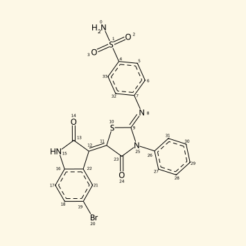 NS(=O)(=O)c1ccc(/N=C2\S/C(=C3\C(=O)Nc4ccc(Br)cc43)C(=O)N2c2ccccc2)cc1